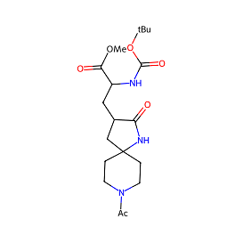 COC(=O)C(CC1CC2(CCN(C(C)=O)CC2)NC1=O)NC(=O)OC(C)(C)C